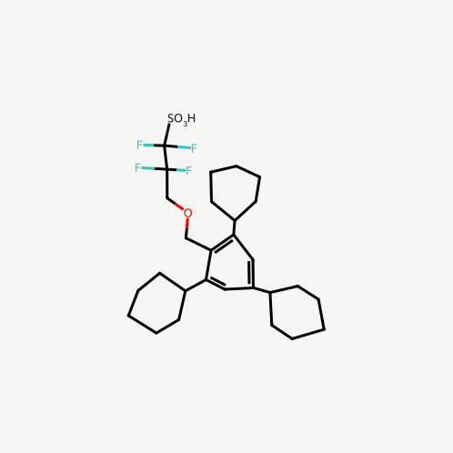 O=S(=O)(O)C(F)(F)C(F)(F)COCc1c(C2CCCCC2)cc(C2CCCCC2)cc1C1CCCCC1